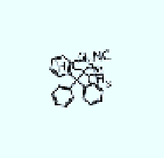 [C-]#[N+]S(=O)(=O)C(C)(C)C(c1ccccc1)(c1ccccc1)c1ccccc1